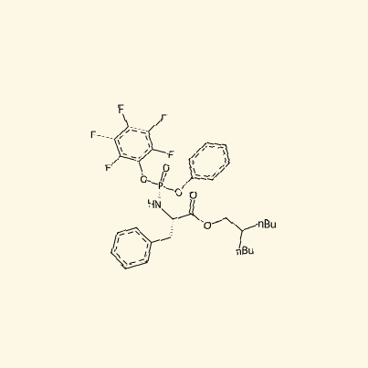 CCCCC(CCCC)COC(=O)[C@H](Cc1ccccc1)N[P@](=O)(Oc1ccccc1)Oc1c(F)c(F)c(F)c(F)c1F